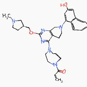 C=CC(=O)N1CCN(c2nc(OC[C@H]3CCN(C)C3)nc3c2CCN(c2cc(O)cc4ccccc24)C3)CC1